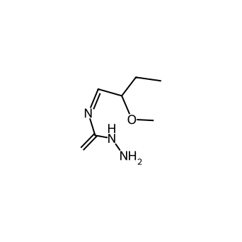 C=C(/N=C\C(CC)OC)NN